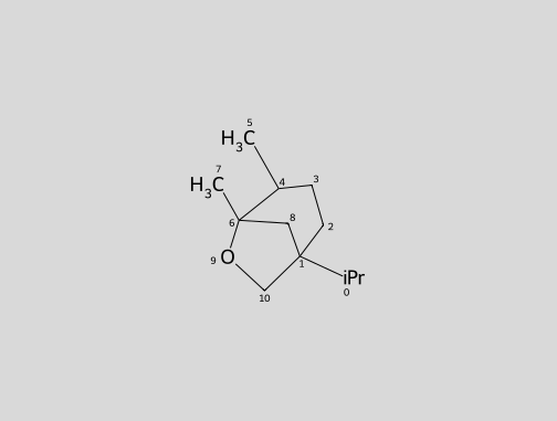 CC(C)C12CCC(C)C(C)(C1)OC2